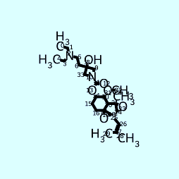 CCN(CC)CCC1(O)CN(C(=O)OC2CCC3(CO3)C([C@@]3(C)O[C@@H]3CC=C(C)C)C2OC)C1